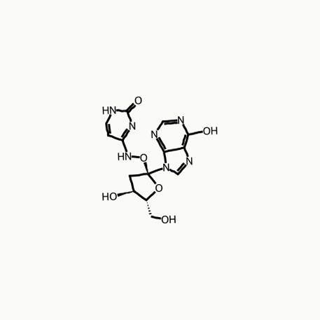 O=c1nc(NO[C@]2(n3cnc4c(O)ncnc43)C[C@H](O)[C@@H](CO)O2)cc[nH]1